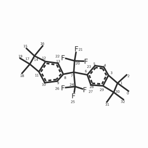 CC1(C)c2ccc(C(c3ccc4c(c3)C(C)(C)C4(C)C)(C(F)(F)F)C(F)(F)F)cc2C1(C)C